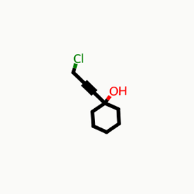 OC1(C#CCCl)CCCCC1